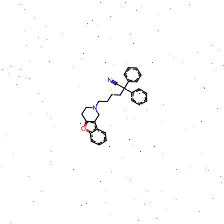 N#CC(CCCCN1CCc2oc3ccccc3c2C1)(c1ccccc1)c1ccccc1